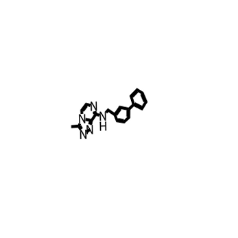 Cc1nnc2c(NCc3cccc(-c4ccccc4)c3)nccn12